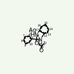 O=C(I)OC1(c2ccccc2)Nc2ccccc2N1.[Ag]